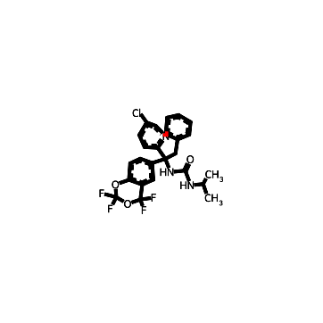 CC(C)NC(=O)NC(Cc1ccccc1)(c1ccc2c(c1)C(F)(F)OC(F)(F)O2)c1ccc(Cl)cn1